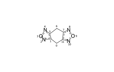 C1c2nonc2Cc2nonc21